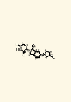 O=C1CCC(N2Cc3ccc(N4CCC(I)C4)cc3C2=O)C(=O)N1